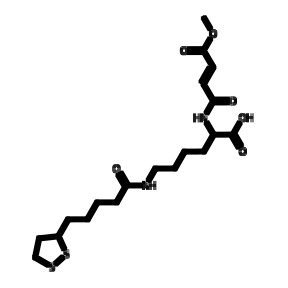 COC(=O)C=CC(=O)NC(CCCCNC(=O)CCCCC1CCSS1)C(=O)O